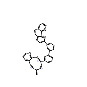 C=C1/C=C\C(c2cccc(-c3cccc(-c4ccc5ccc6cccnc6c5n4)c3)c2)=N/Cc2ncccc2/C=C\1